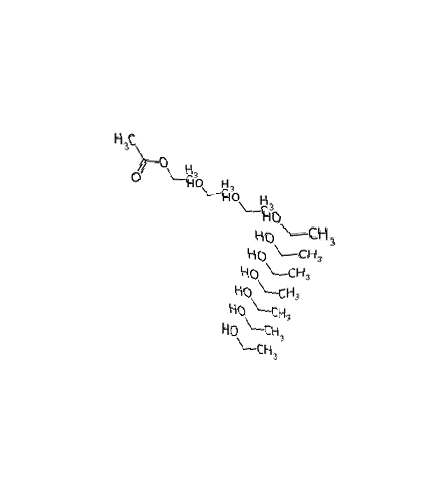 CCO.CCO.CCO.CCO.CCO.CCO.CCO.CCO.CCO.CCOC(C)=O